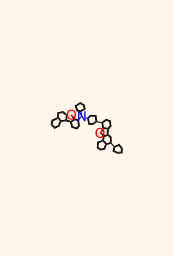 c1ccc(-c2cc3c4cccc(-c5ccc(N(c6ccccc6)c6cccc7c6oc6ccc8ccccc8c67)cc5)c4oc3c3ccccc23)cc1